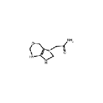 NC(=O)CN1CNC2=C1COCN2